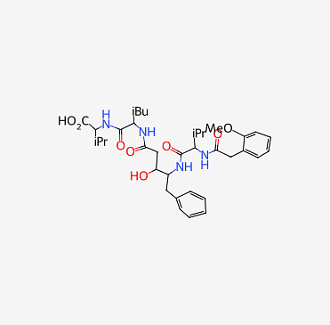 CCC(C)C(NC(=O)CC(O)C(Cc1ccccc1)NC(=O)C(NC(=O)Cc1ccccc1OC)C(C)C)C(=O)NC(C(=O)O)C(C)C